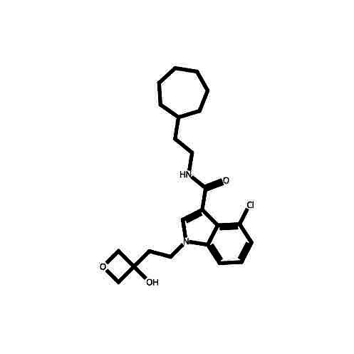 O=C(NCCC1CCCCCC1)c1cn(CCC2(O)COC2)c2cccc(Cl)c12